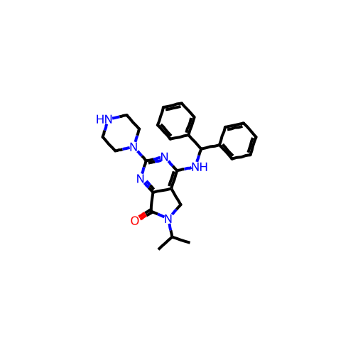 CC(C)N1Cc2c(NC(c3ccccc3)c3ccccc3)nc(N3CCNCC3)nc2C1=O